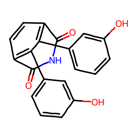 O=c1[nH]c(=O)c2ccc1c(-c1cccc(O)c1)c2-c1cccc(O)c1